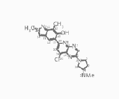 CN[C@H]1CCN(c2cnc3nc(-c4cc5cn(C)nc5c(C)c4O)cc(Cl)c3n2)C1